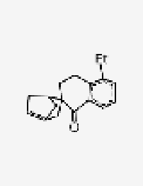 CCc1cccc2c1CCC1(CC3=CCC1C3)C2=O